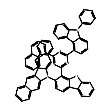 c1ccc(-n2c3ccccc3c3c(-c4nc(-c5cccc6ccccc56)nc(-c5c(-n6c7cc8ccccc8cc7c7cc8ccccc8cc76)ccc6c5oc5ccccc56)n4)cccc32)cc1